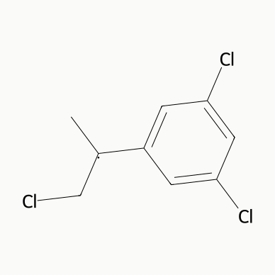 C[C](CCl)c1cc(Cl)cc(Cl)c1